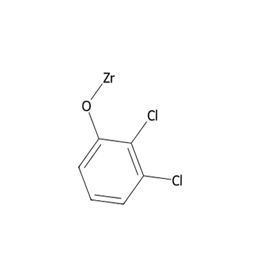 Clc1cccc([O][Zr])c1Cl